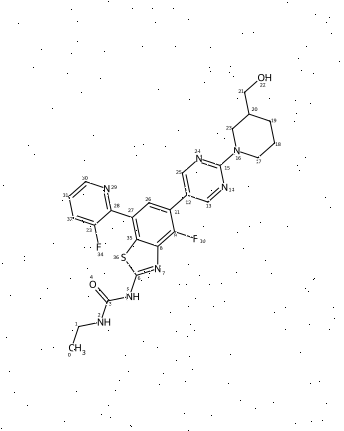 CCNC(=O)Nc1nc2c(F)c(-c3cnc(N4CCCC(CO)C4)nc3)cc(-c3ncccc3F)c2s1